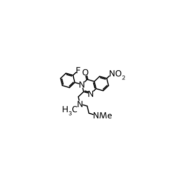 CNCCN(C)Cc1nc2ccc([N+](=O)[O-])cc2c(=O)n1-c1ccccc1F